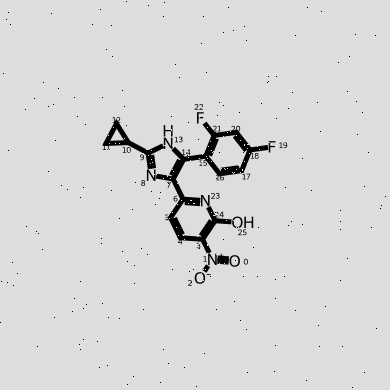 O=[N+]([O-])c1ccc(-c2nc(C3CC3)[nH]c2-c2ccc(F)cc2F)nc1O